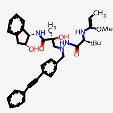 C/C=C(/N[C@H](C(=O)NN(Cc1ccc(C#Cc2ccccc2)cc1)C[C@](C)(O)C(=O)N[C@H]1c2ccccc2C[C@H]1O)C(C)(C)C)OC